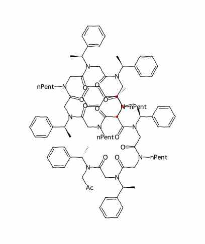 CCCCCN(CC(=O)N(CC(=O)N(CCCCC)CC(=O)N(CC(=O)N(CC(=O)N(CCCCC)CC(=O)N(CC(=O)N(CCCCC)CC(=O)N(CC(=O)N(CC(C)=O)[C@@H](C)c1ccccc1)[C@@H](C)c1ccccc1)[C@@H](C)c1ccccc1)[C@@H](C)c1ccccc1)[C@@H](C)c1ccccc1)[C@@H](C)c1ccccc1)C(=O)CN(C)[C@@H](C)c1ccccc1